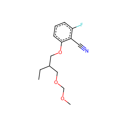 CCC(COCOC)COc1cccc(F)c1C#N